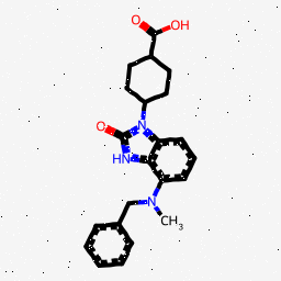 CN(Cc1ccccc1)c1cccc2c1[nH]c(=O)n2C1CCC(C(=O)O)CC1